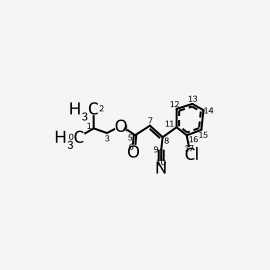 CC(C)COC(=O)C=C(C#N)c1ccccc1Cl